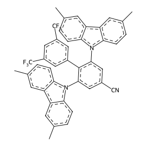 Cc1ccc2c(c1)c1cc(C)ccc1n2-c1cc(C#N)cc(-n2c3ccc(C)cc3c3cc(C)ccc32)c1-c1cc(C(F)(F)F)cc(C(F)(F)F)c1